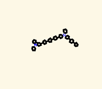 c1ccc(-c2ccc(-c3ccc(N(c4ccccc4)c4ccc(-c5ccc(-c6ccc(-c7ccc(-c8ccc9c(c8)c8ccccc8n9-c8ccccc8)cc7)cc6)cc5)cc4)cc3)cc2)cc1